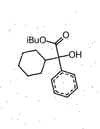 CC(C)COC(=O)C(O)(c1ccccc1)C1CCCCC1